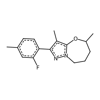 Cc1ccc(-c2nn3c(c2C)OC(C)CCC3)c(F)c1